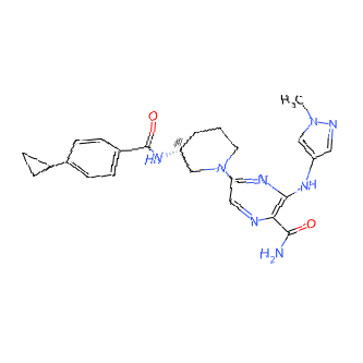 Cn1cc(Nc2nc(N3CCC[C@@H](NC(=O)c4ccc(C5CC5)cc4)C3)cnc2C(N)=O)cn1